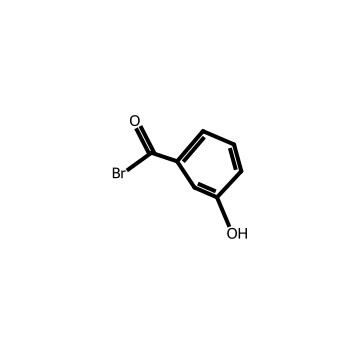 O=C(Br)c1cccc(O)c1